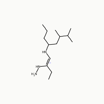 CCCC(CC(C)C(C)C)N/C=C(/CC)NN